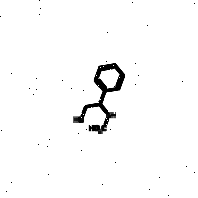 O=C(O)NC(CO)c1ccccc1